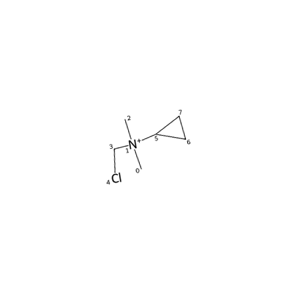 C[N+](C)(CCl)C1CC1